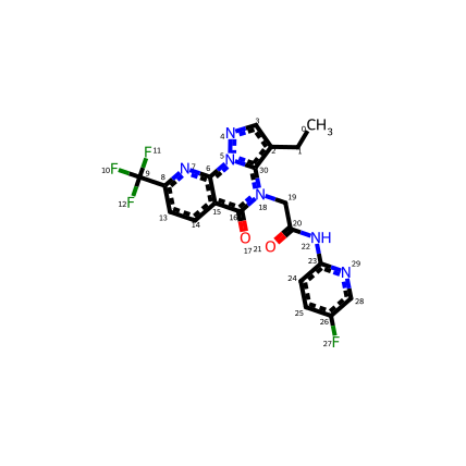 CCc1cnn2c3nc(C(F)(F)F)ccc3c(=O)n(CC(=O)Nc3ccc(F)cn3)c12